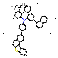 CC1(C)c2ccccc2-c2c(N(c3ccc(-c4ccc5c(ccc6sc7ccccc7c65)c4)cc3)c3cccc(-c4cccc5ccccc45)c3)cccc21